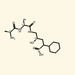 CC(C)[C@H]([AsH]C(=O)[C@H](C)N)C(=O)NC[C@H](O)CC(C1CCCCC1)[PH](=O)O